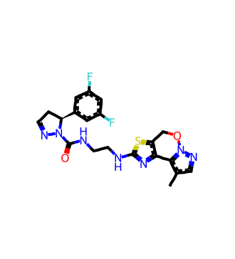 Cc1cnn2c1-c1nc(NCCNC(=O)N3N=CC[C@H]3c3cc(F)cc(F)c3)sc1CO2